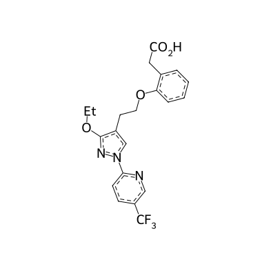 CCOc1nn(-c2ccc(C(F)(F)F)cn2)cc1CCOc1ccccc1CC(=O)O